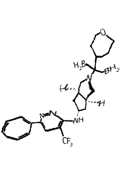 BC(B)(C1CCOCC1)N1C[C@H]2C[C@H](Nc3nnc(-c4ccccc4)cc3C(F)(F)F)C[C@H]2C1